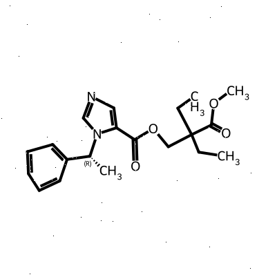 CCC(CC)(COC(=O)c1cncn1[C@H](C)c1ccccc1)C(=O)OC